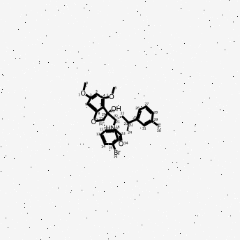 COc1cc(OC)c2c(c1)O[C@@H](c1ccc(Br)cc1)[C@@]2(O)[C@H](C[C@H](C)c1cccc(F)c1)NC=O